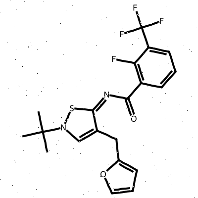 CC(C)(C)n1cc(Cc2ccco2)c(=NC(=O)c2cccc(C(F)(F)F)c2F)s1